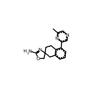 Cc1cncc(-c2cccc3c2CCC2(COC(N)=N2)C3)n1